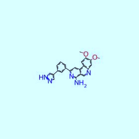 COc1cc2ncc3c(N)nc(-c4cccc(-c5cn[nH]c5)c4)cc3c2cc1OC